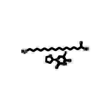 CCCCCCCCCCCCCCCC(=O)O.O=c1[nH]c(=O)n(C2CCCO2)cc1F